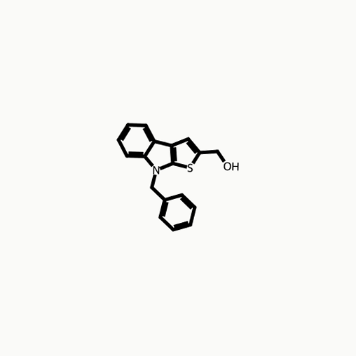 OCc1cc2c3ccccc3n(Cc3ccccc3)c2s1